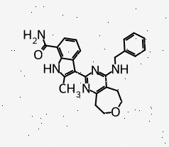 Cc1[nH]c2c(C(N)=O)cccc2c1-c1nc2c(c(NCc3ccccc3)n1)CCOCC2